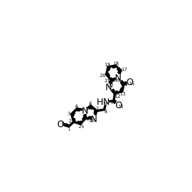 O=Cc1ccn2cc(CNC(=O)c3cc(=O)n4ccccc4n3)nc2c1